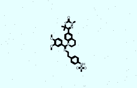 COc1ccc(/C(=N/CCc2ccc(NS(C)(=O)=O)cc2)N2CCCc3cc(C4=NN(C)C(=O)SC4(C)C)ccc32)cc1OC